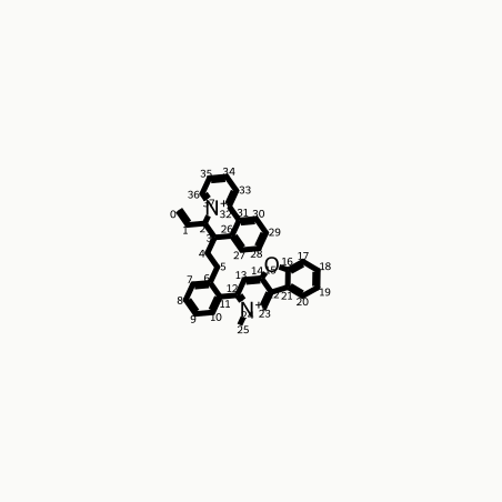 C=CC1C(CCc2ccccc2-c2cc3oc4ccccc4c3c[n+]2C)c2ccccc2-c2cccc[n+]21